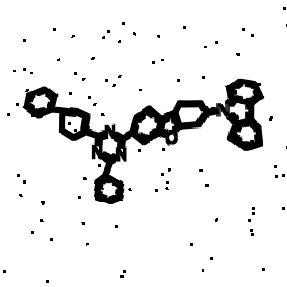 C1=CC(n2c3ccccc3c3ccccc32)Cc2oc3cc(-c4nc(C5=CC=C(c6ccccc6)CC5)nc(-c5ccccc5)n4)ccc3c21